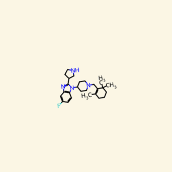 CC1=C(CN2CCC(n3c(C4CCNC4)nc4cc(F)ccc43)CC2)C(C)(C)CCC1